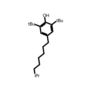 CC(C)CCCCCCc1cc(C(C)(C)C)c(O)c(C(C)(C)C)c1